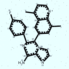 Cc1ccnc2c(C)cc(-c3c(-c4ccc(F)cc4)nc(N)c4nccn34)cc12